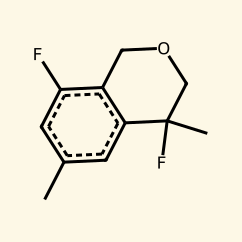 Cc1cc(F)c2c(c1)C(C)(F)COC2